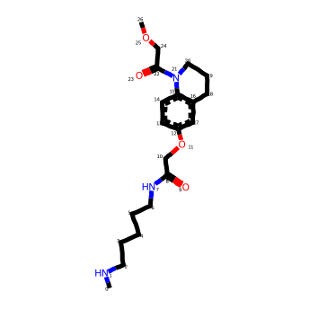 CNCCCCCNC(=O)COc1ccc2c(c1)CCCN2C(=O)COC